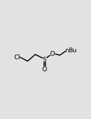 CCCCCOS(=O)CCCl